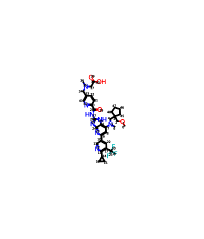 COCC1(CN(C)c2cc(-c3cnc(C4CC4)c(C(F)(F)F)c3)nc3nc(NC(=O)c4ccc(CN(C)CC(=O)O)cn4)[nH]c23)CCCC1